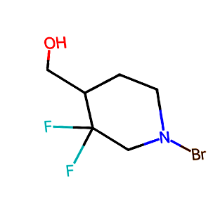 OCC1CCN(Br)CC1(F)F